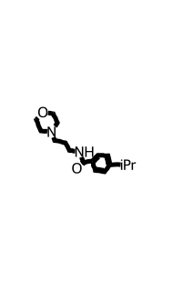 CC(C)c1ccc(C(=O)NCCCN2CCOCC2)cc1